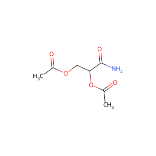 CC(=O)OCC(OC(C)=O)C(N)=O